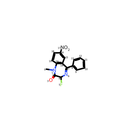 CN1C(=O)C(F)N=C(c2ccccc2)c2cc([N+](=O)[O-])ccc21